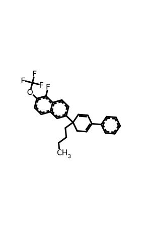 CCCCC1(c2ccc3c(F)c(OC(F)(F)F)ccc3c2)C=CC(c2ccccc2)=CC1